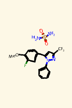 COc1ccc(-c2cc(C(F)(F)F)nn2-c2ccccc2)cc1F.NS(N)(=O)=O